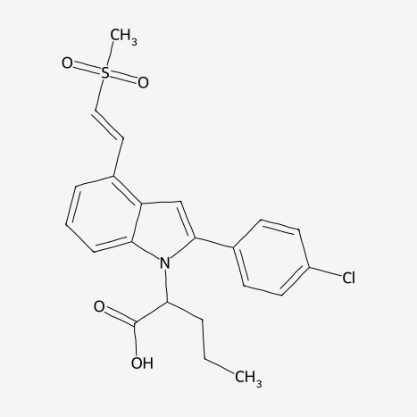 CCCC(C(=O)O)n1c(-c2ccc(Cl)cc2)cc2c(/C=C/S(C)(=O)=O)cccc21